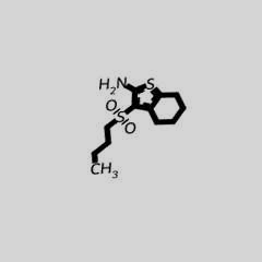 CCCCS(=O)(=O)c1c(N)sc2c1CCCC2